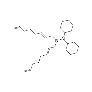 C=CCCCC=CCN(CC=CCCCC=C)N(C1CCCCC1)C1CCCCC1